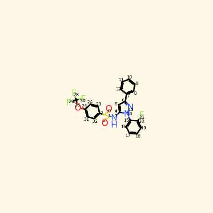 O=S(=O)(Nc1cc(-c2ccccc2)nn1-c1ccccc1F)c1ccc(OC(F)(F)F)cc1